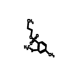 CCCOS(=O)(=O)c1ccc(C)cc1SC